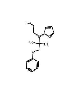 CCCN(n1cccc1)C(C)(C)COc1ccccc1